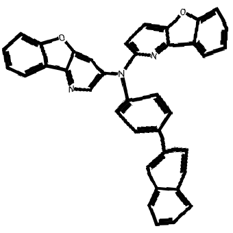 c1ccc2cc(-c3ccc(N(c4cnc5c(c4)oc4ccccc45)c4ccc5oc6ccccc6c5n4)cc3)ccc2c1